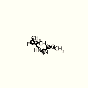 CCOc1csc(-c2cc(NCCc3c(C)sc4c(C)cc(F)cc34)ncn2)c1